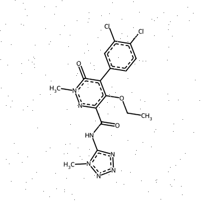 CCOc1c(C(=O)Nc2nnnn2C)nn(C)c(=O)c1-c1ccc(Cl)c(Cl)c1